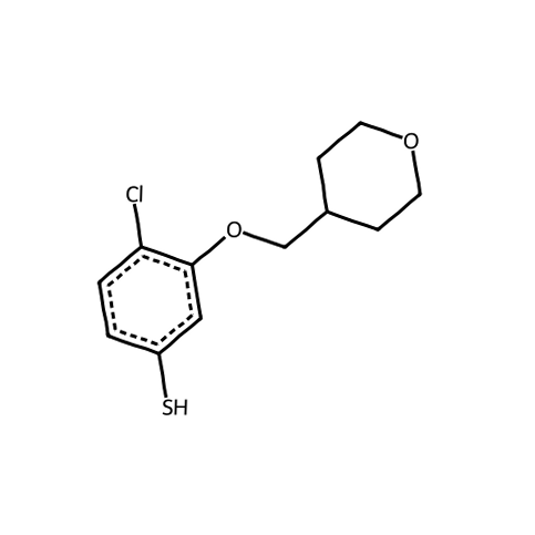 Sc1ccc(Cl)c(OCC2CCOCC2)c1